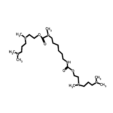 CN(C)CCCN(C)CCOC(=O)NCCCCCCN(C)C(=O)OCCN(C)CCCN(C)C